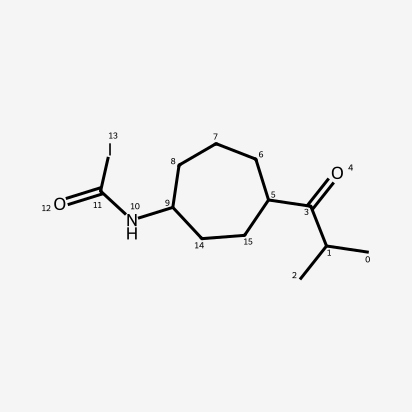 CC(C)C(=O)C1CCCC(NC(=O)I)CC1